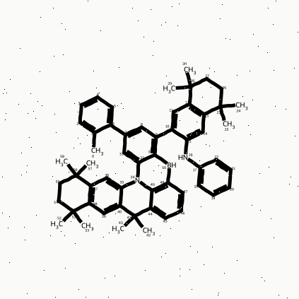 Cc1ccccc1-c1cc(-c2cc3c(cc2Nc2ccccc2)C(C)(C)CCC3(C)C)c2c(c1)N1c3cc4c(cc3C(C)(C)c3cccc(c31)B2)C(C)(C)CCC4(C)C